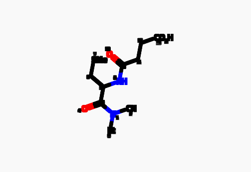 CCN(C#N)C(=O)C(CSC)NC(=O)CCC(=O)O